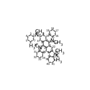 CN(c1ccccc1)c1ccc2c(N(C)c3ccccc3)c3cc4c(cc3c(N(C)c3ccccc3)c2c1)-c1ccccc1C4(C)C